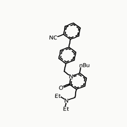 CCCCc1ccc(CN(CC)CC)c(=O)n1Cc1ccc(-c2ccccc2C#N)cc1